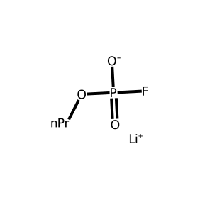 CCCOP(=O)([O-])F.[Li+]